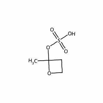 CC1(OS(=O)(=O)O)CCO1